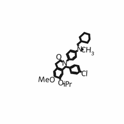 COc1cc2c(cc1OC(C)C)C(c1ccc(Cl)cc1)N(c1ccc(N(C)CC3CCCCC3)cc1)C(=O)C2